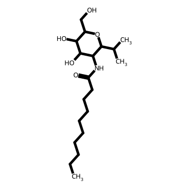 CCCCCCCCCC(=O)NC1C(O)C(O)C(CO)OC1C(C)C